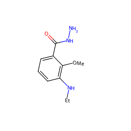 CCNc1cccc(C(=O)NN)c1OC